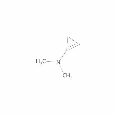 CN(C)C1=CC1